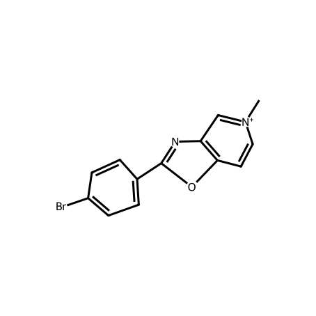 C[n+]1ccc2oc(-c3ccc(Br)cc3)nc2c1